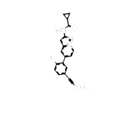 CC#Cc1ccc(F)c(-c2ccn3nc(NC(=O)C4CC4)cc3c2)c1